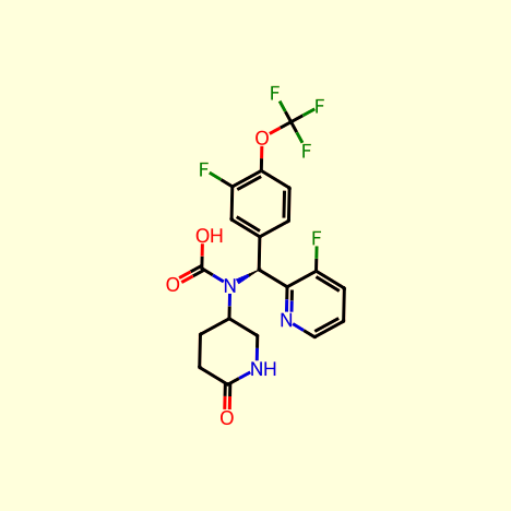 O=C1CCC(N(C(=O)O)[C@@H](c2ccc(OC(F)(F)F)c(F)c2)c2ncccc2F)CN1